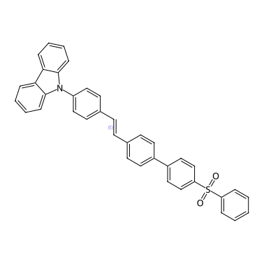 O=S(=O)(c1ccccc1)c1ccc(-c2ccc(/C=C/c3ccc(-n4c5ccccc5c5ccccc54)cc3)cc2)cc1